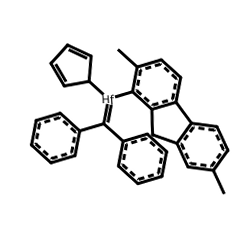 Cc1ccc2c(c1)Cc1c-2ccc(C)[c]1[Hf](=[C](c1ccccc1)c1ccccc1)[CH]1C=CC=C1